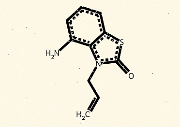 C=CCn1c(=O)sc2cccc(N)c21